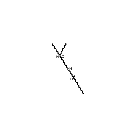 CCCCCCCCCCCNC(=O)CCCCCNCCCCCCCC(=O)NC(CCCCCCCC)CCCCCCCC